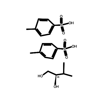 CC(C)[C@@H](O)CO.Cc1ccc(S(=O)(=O)O)cc1.Cc1ccc(S(=O)(=O)O)cc1